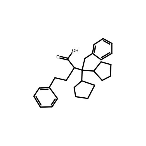 O=C(O)C(CCc1ccccc1)C(Cc1ccccc1)(C1CCCC1)C1CCCC1